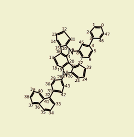 c1ccc(-c2cccc(-n3c4ccccc4c4ccc5c(c6ccccc6n5-c5ccc(-c6cccc7ccccc67)cc5)c43)c2)cc1